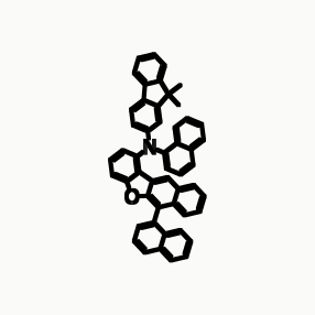 CC1(C)c2ccccc2-c2ccc(N(c3cccc4ccccc34)c3cccc4oc5c(-c6cccc7ccccc67)c6ccccc6cc5c34)cc21